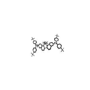 CC(C)(C)c1ccc(N(c2ccc(C(C)(C)C)cc2)c2ccc3c4c(ccc3c2)-c2ccc3cc(N(c5ccc(C(C)(C)C)cc5)c5ccc(C(C)(C)C)cc5)ccc3c2C4([Si](C)(C)C)[Si](C)(C)C)cc1